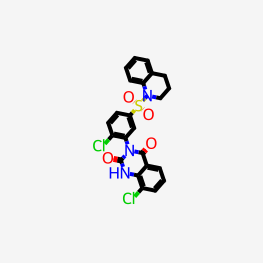 O=c1[nH]c2c(Cl)cccc2c(=O)n1-c1cc(S(=O)(=O)N2CCCc3ccccc32)ccc1Cl